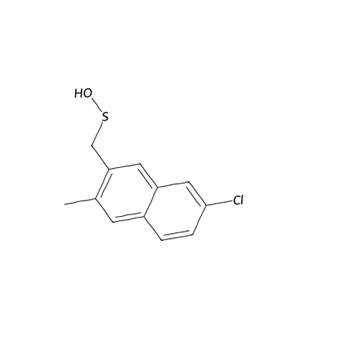 Cc1cc2ccc(Cl)cc2cc1CSO